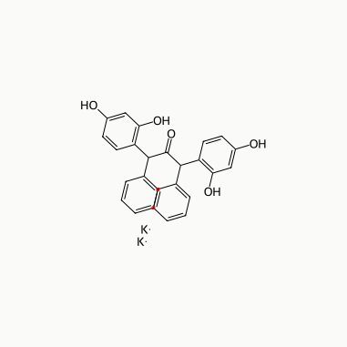 O=C(C(c1ccccc1)c1ccc(O)cc1O)C(c1ccccc1)c1ccc(O)cc1O.[K].[K]